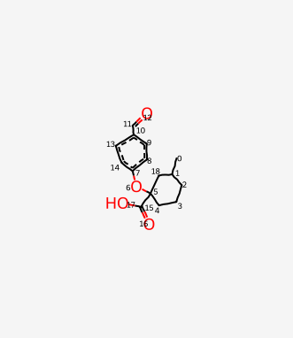 CC1CCCC(Oc2ccc(C=O)cc2)(C(=O)O)C1